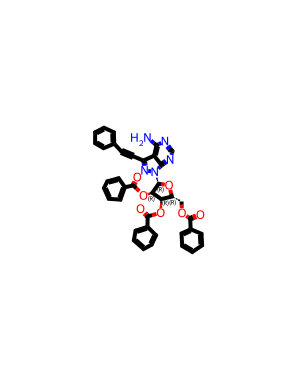 Nc1ncnc2c1c(C#Cc1ccccc1)nn2[C@@H]1O[C@H](COC(=O)c2ccccc2)[C@@H](OC(=O)c2ccccc2)[C@H]1OC(=O)c1ccccc1